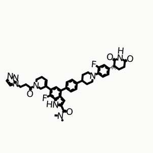 CN(C)C(=O)c1cc2c(-c3ccc(C4CCN(c5ccc([C@H]6CCC(=O)NC6=O)cc5F)CC4)cc3)cc(C3=CCCN(C(=O)CCn4ccnn4)C3)c(F)c2[nH]1